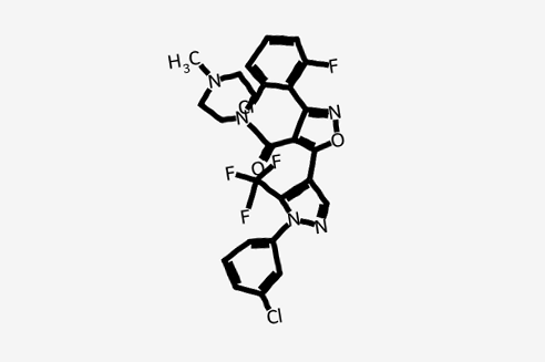 CN1CCN(C(=O)c2c(-c3c(F)cccc3Cl)noc2-c2cnn(-c3cccc(Cl)c3)c2C(F)(F)F)CC1